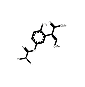 CCN(CC)C(=O)Oc1ccc(C)c(/C(=C\OC)C(=O)OC)c1